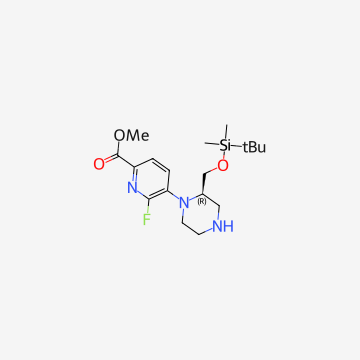 COC(=O)c1ccc(N2CCNC[C@@H]2CO[Si](C)(C)C(C)(C)C)c(F)n1